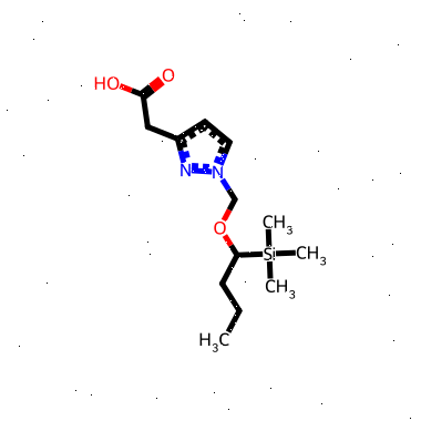 CCCC(OCn1ccc(CC(=O)O)n1)[Si](C)(C)C